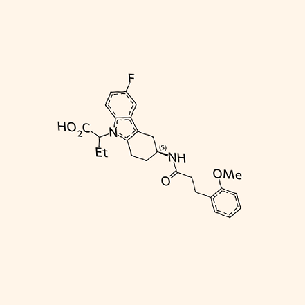 CCC(C(=O)O)n1c2c(c3cc(F)ccc31)C[C@@H](NC(=O)CCc1ccccc1OC)CC2